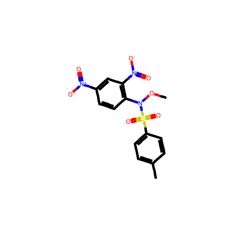 CON(c1ccc([N+](=O)[O-])cc1[N+](=O)[O-])S(=O)(=O)c1ccc(C)cc1